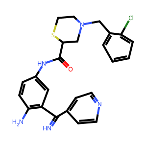 N=C(c1ccncc1)c1cc(NC(=O)C2CN(Cc3ccccc3Cl)CCS2)ccc1N